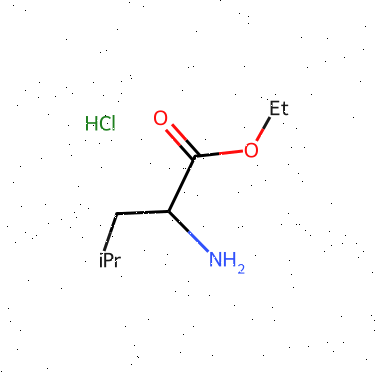 CCOC(=O)C(N)CC(C)C.Cl